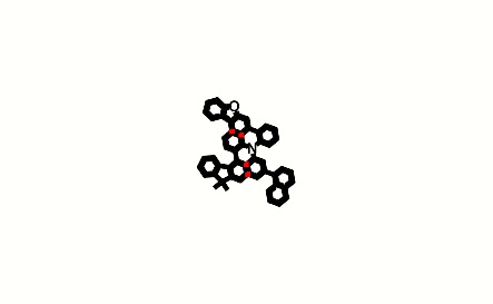 CC1(C)c2ccccc2-c2c(-c3ccccc3N(c3cccc(-c4cccc5ccccc45)c3)c3ccccc3-c3ccc4c(c3)oc3ccccc34)cccc21